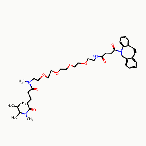 CC(C)C(C)N(C)C(=O)CCCC(=O)N(C)CCOCCOCCOCCOCCNC(=O)CCC(=O)N1Cc2ccccc2C#Cc2ccccc21